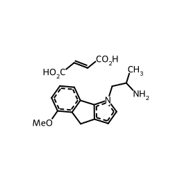 COc1cccc2c1Cc1ccn(CC(C)N)c1-2.O=C(O)C=CC(=O)O